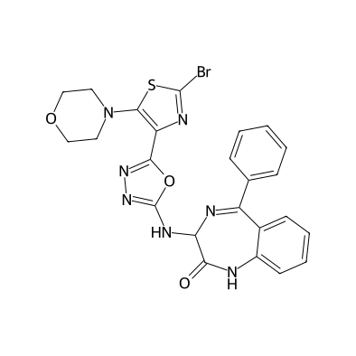 O=C1Nc2ccccc2C(c2ccccc2)=NC1Nc1nnc(-c2nc(Br)sc2N2CCOCC2)o1